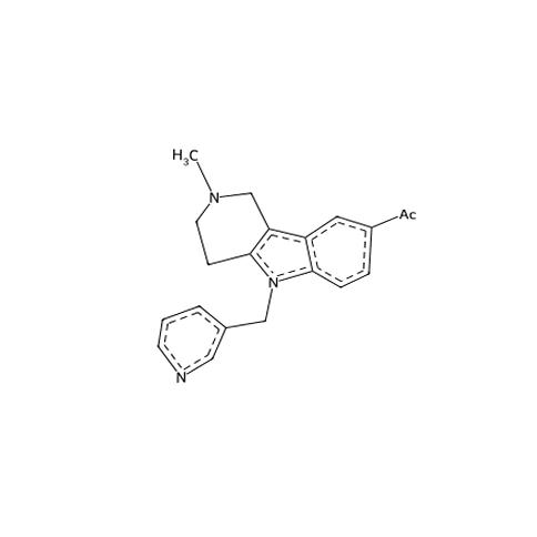 CC(=O)c1ccc2c(c1)c1c(n2Cc2cccnc2)CCN(C)C1